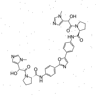 Cn1cncc1C(O)C(=O)N1CCC[C@H]1C(=O)Nc1ccc(-c2cnc(-c3ccc(NC(=O)[C@@H]4CCCN4C(=O)C(O)c4cncn4C)cc3)o2)cc1